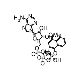 COc1ccc(OP(=O)(O)OP(=O)(O)OP(=O)(O)OC[C@H]2O[C@@H](n3cnc4c(N)ncnc43)[C@H](O)[C@@H]2O)c2ccccc12